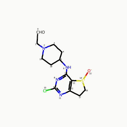 O=CCN1CCC(Nc2nc(Cl)nc3c2[S+]([O-])CC3)CC1